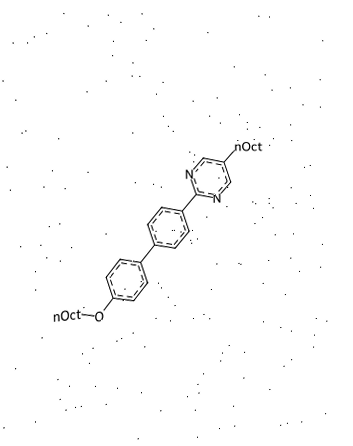 CCCCCCCCOc1ccc(-c2ccc(-c3ncc(CCCCCCCC)cn3)cc2)cc1